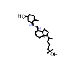 C=C1CCC(O)C/C1=C/C=C1\CCC[C@@]2(C)C1CCC2C(C)CCCC(C)(C)O